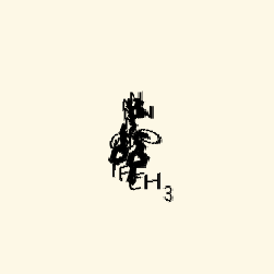 CCC(F)(F)c1ccc(CNC(=O)[C@H]2CN(c3cnc4cncnc4n3)CCN2S(=O)(=O)c2ccc(I)cc2)cc1